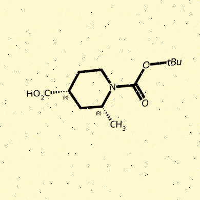 C[C@@H]1C[C@H](C(=O)O)CCN1C(=O)OC(C)(C)C